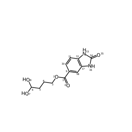 O=C(OCCCC(O)O)c1ccc2[nH]c(=O)[nH]c2c1